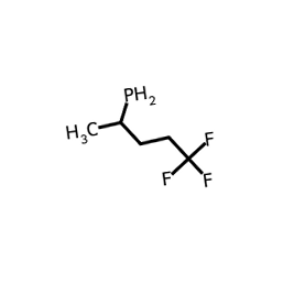 CC(P)CCC(F)(F)F